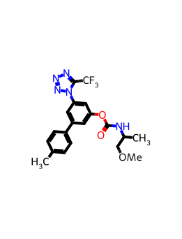 COCC(C)NC(=O)Oc1cc(-c2ccc(C)cc2)cc(-n2nnnc2C(F)(F)F)c1